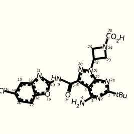 CC(C)(C)c1nc(N)c2c(C(=O)Nc3nc4cc(Cl)ccc4o3)nn(C3CN(C(=O)O)C3)c2n1